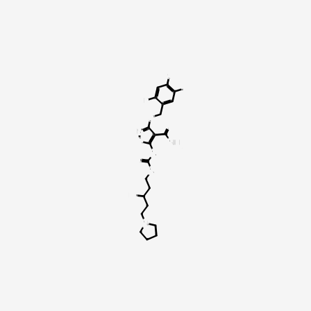 NC(=O)c1c(OCc2cc(F)c(Cl)cc2F)nsc1NC(=O)NCCC(O)CCN1CCCC1